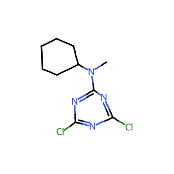 CN(c1nc(Cl)nc(Cl)n1)C1CCCCC1